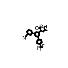 CC(C)CC(C(=O)O)c1cc(-c2ccc(C(F)(F)F)cc2)cc(-c2cccc(C#N)c2)c1